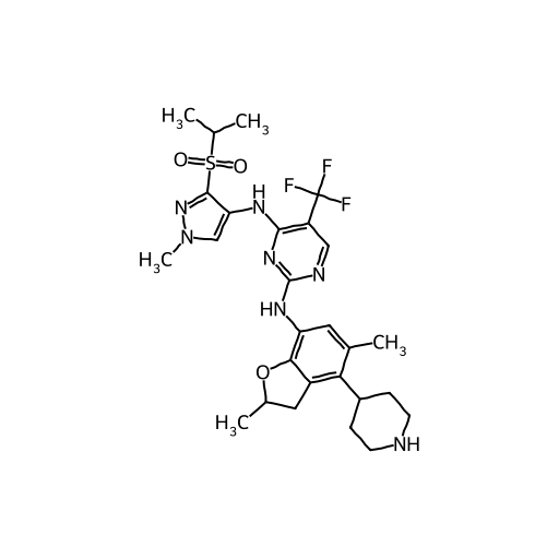 Cc1cc(Nc2ncc(C(F)(F)F)c(Nc3cn(C)nc3S(=O)(=O)C(C)C)n2)c2c(c1C1CCNCC1)CC(C)O2